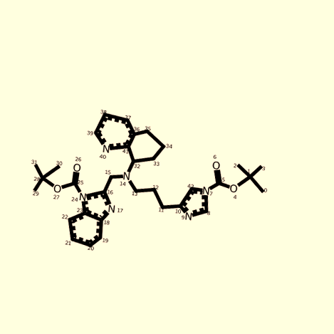 CC(C)(C)OC(=O)n1cnc(CCCN(Cc2nc3ccccc3n2C(=O)OC(C)(C)C)C2CCCc3cccnc32)c1